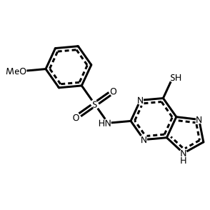 COc1cccc(S(=O)(=O)Nc2nc(S)c3nc[nH]c3n2)c1